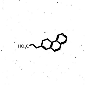 O=C(O)CCC1=Cc2ccc3ccccc3c2CC1